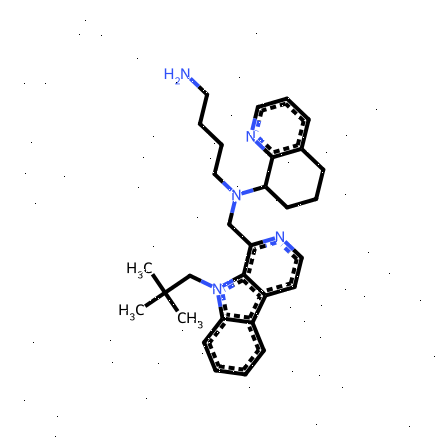 CC(C)(C)Cn1c2ccccc2c2ccnc(CN(CCCCN)C3CCCc4cccnc43)c21